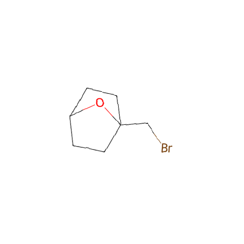 BrCC12CCC(CC1)O2